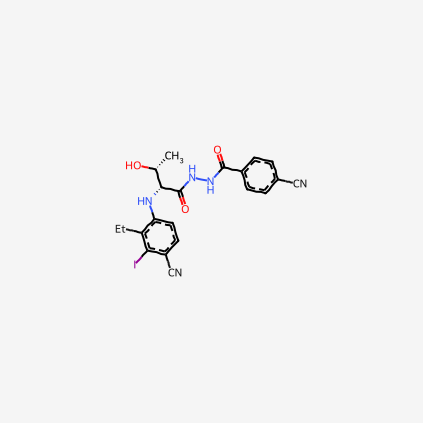 CCc1c(N[C@@H](C(=O)NNC(=O)c2ccc(C#N)cc2)[C@@H](C)O)ccc(C#N)c1I